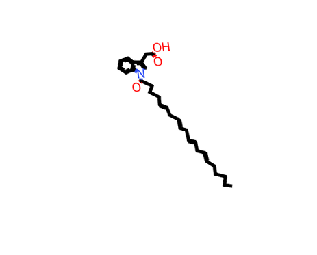 CCCCC/C=C/C/C=C/C/C=C/C/C=C/CCCC(=O)n1cc(CC(=O)O)c2ccccc21